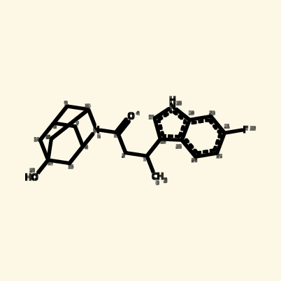 CC(CC(=O)N1C2CC3CC1CC(O)(C3)C2)c1c[nH]c2cc(F)ccc12